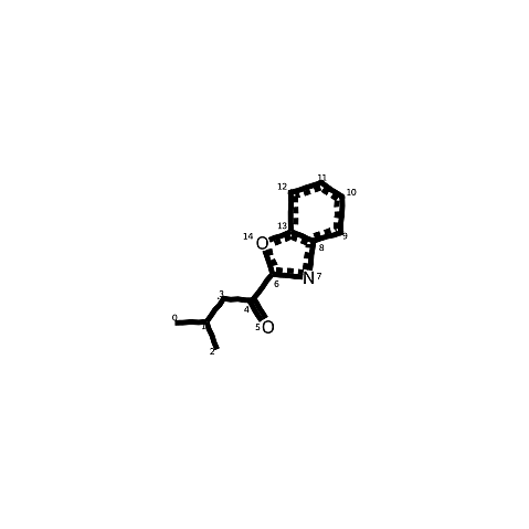 CC(C)[CH]C(=O)c1nc2ccccc2o1